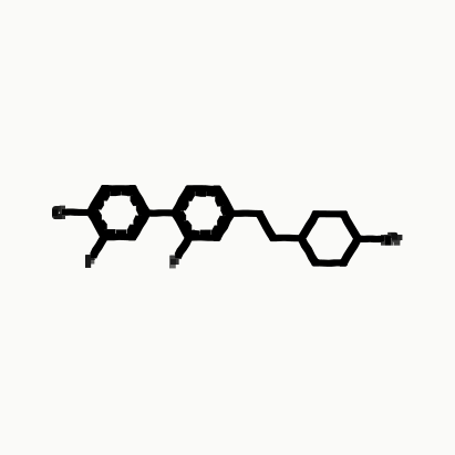 CCCC1CCC(CCc2ccc(-c3ccc(Cl)c(F)c3)c(F)c2)CC1